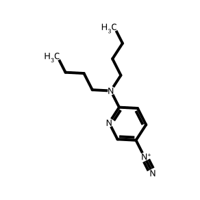 CCCCN(CCCC)c1ccc([N+]#N)cn1